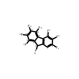 Fc1cc2c(c(F)c1F)-c1c(F)c(F)c(F)c(F)c1C2F